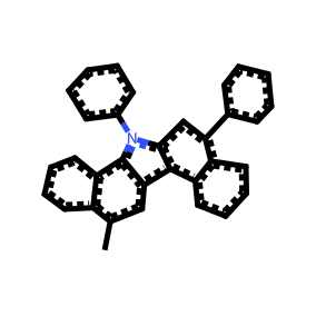 Cc1cc2c3c4ccccc4c(-c4ccccc4)cc3n(-c3ccccc3)c2c2ccccc12